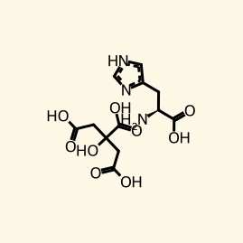 N[C@@H](Cc1c[nH]cn1)C(=O)O.O=C(O)CC(O)(CC(=O)O)C(=O)O